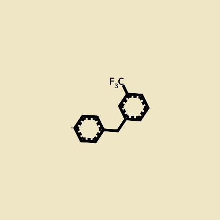 FC(F)(F)c1cccc(Cc2cc[c]cc2)c1